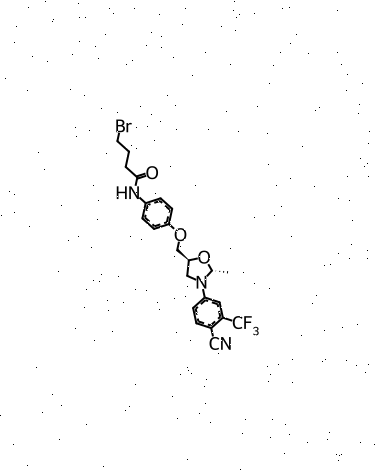 C[C@H]1O[C@H](COc2ccc(NC(=O)CCCBr)cc2)CN1c1ccc(C#N)c(C(F)(F)F)c1